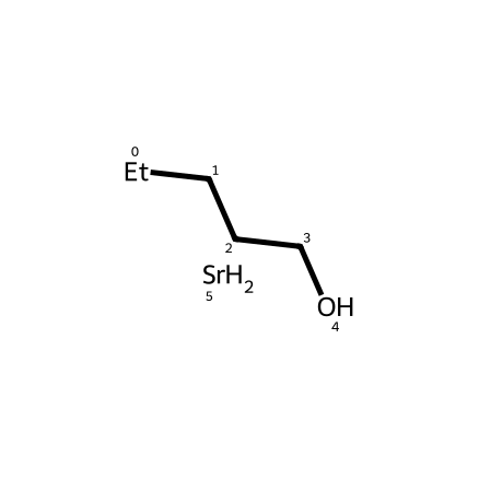 CCCCCO.[SrH2]